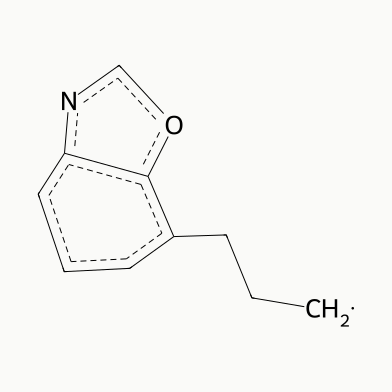 [CH2]CCc1cccc2ncoc12